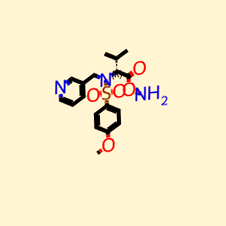 COc1ccc(S(=O)(=O)N(Cc2cccnc2)[C@@H](C(=O)ON)C(C)C)cc1